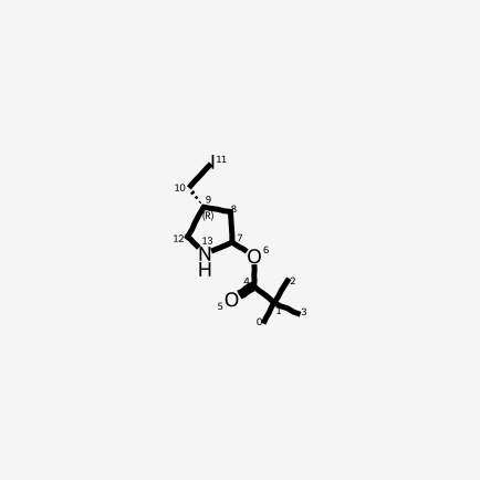 CC(C)(C)C(=O)OC1C[C@@H](CI)CN1